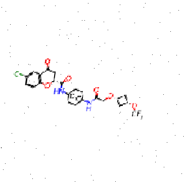 O=C(CO[C@H]1C[C@@H](OC(F)(F)F)C1)NC12CCC(NC(=O)[C@H]3CC(=O)c4cc(Cl)ccc4O3)(CC1)CC2